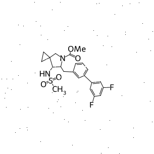 COC(=O)N1CC2(CC2)C(NS(C)(=O)=O)C1Cc1cccc(-c2cc(F)cc(F)c2)c1